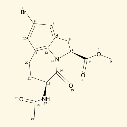 COC(=O)[C@@H]1Cc2cc(Br)cc3c2N1C(=O)[C@@H](NC(C)=O)CC3